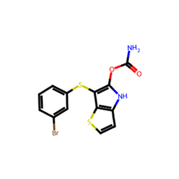 NC(=O)Oc1[nH]c2ccsc2c1Sc1cccc(Br)c1